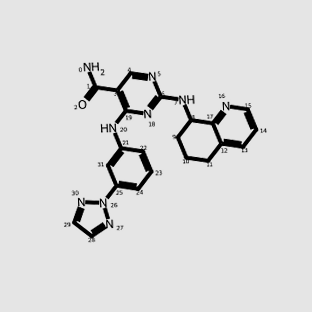 NC(=O)c1cnc(NC2CCCc3cccnc32)nc1Nc1cccc(-n2nccn2)c1